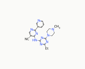 CCc1nc(Nc2nc(-c3cccnc3)ncc2C#N)nc(N2CCN(C)CC2)n1